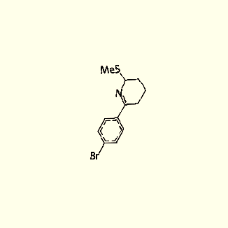 CSC1CCCC(c2ccc(Br)cc2)=N1